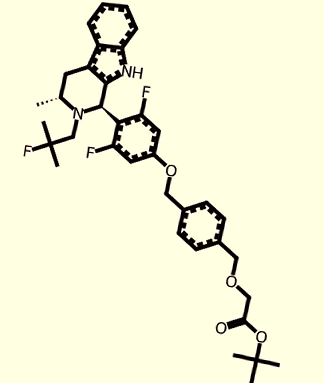 C[C@@H]1Cc2c([nH]c3ccccc23)[C@@H](c2c(F)cc(OCc3ccc(COCC(=O)OC(C)(C)C)cc3)cc2F)N1CC(C)(C)F